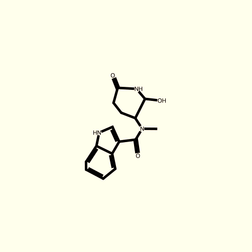 CN(C(=O)c1c[nH]c2ccccc12)C1CCC(=O)NC1O